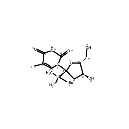 CC(C)(C)[Si](C)(C)[C@]1(n2cc(I)c(=O)[nH]c2=O)C[C@H](O)[C@@H](CO)O1